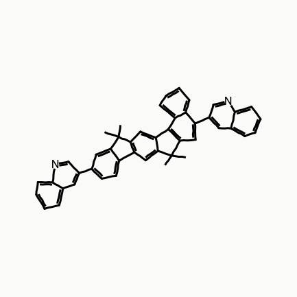 CC1(C)c2cc(-c3cnc4ccccc4c3)ccc2-c2cc3c(cc21)-c1c(cc(-c2cnc4ccccc4c2)c2ccccc12)C3(C)C